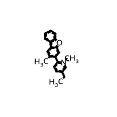 CCc1ccc(-c2cc3oc4ccccc4c3cc2C)[n+](C)c1